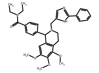 CCN(CC)C(=O)c1ccc(C2c3cc(OC)c(OC)c(OC)c3CCN2Cc2cnc(-c3ccccc3)[nH]2)cc1